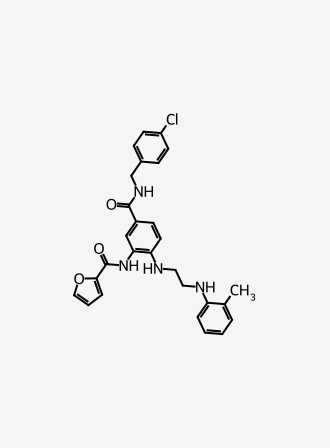 Cc1ccccc1NCCNc1ccc(C(=O)NCc2ccc(Cl)cc2)cc1NC(=O)c1ccco1